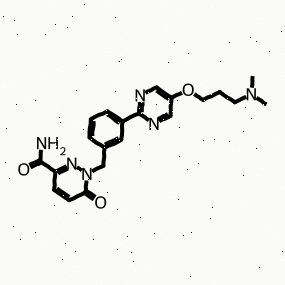 CN(C)CCCOc1cnc(-c2cccc(Cn3nc(C(N)=O)ccc3=O)c2)nc1